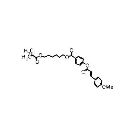 C=C(C)C(=O)OCCCCCCOC(=O)c1ccc(OC(=O)C=Cc2ccc(OC)cc2)cc1